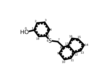 Oc1cccc(SCc2cccc3ccccc23)c1